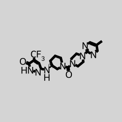 Cc1cnc(N2CCN(C(=O)N3CCC[C@H](Nc4cc(C(F)(F)F)c(=O)[nH]n4)C3)CC2)nc1